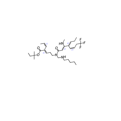 C/C=C\C(=C/CCN(CNCCCCC)C(=O)/C=C(NC)/C(/C=C\CC(F)(F)F)=C/CC)C(=O)OC(C)(C)CC